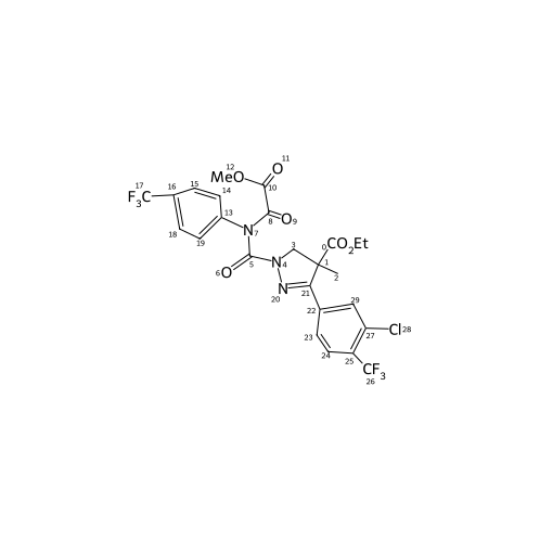 CCOC(=O)C1(C)CN(C(=O)N(C(=O)C(=O)OC)c2ccc(C(F)(F)F)cc2)N=C1c1ccc(C(F)(F)F)c(Cl)c1